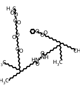 C=CC(=O)OCCOC(=O)CCCCCOC(=O)CCCCCOC(=O)CCCCCCCCC(CCCCCCCC)C(CCCCCCCC)CCCCCCCCC(=O)NCCNC(=O)CCCCCCCCC(CCCCCCCC)C(CCCCCCCC)CCCCCCCCC(=O)OCCOc1ccccc1